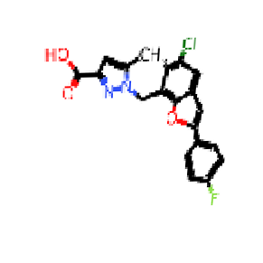 Cc1cc(C(=O)O)nn1Cc1cc(Cl)cc2cc(-c3ccc(F)cc3)oc12